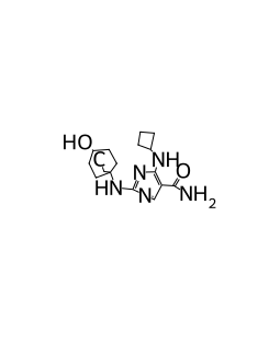 NC(=O)c1cnc(NC23CCC(O)(CC2)CC3)nc1NC1CCC1